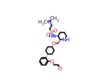 CN(C)CCS(=O)(=O)N[C@H]1CCCN[C@H]1CO[C@H]1CC[C@@H](c2ccccc2OCC=O)CC1